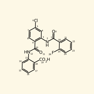 O=C(Nc1cc(Cl)ccc1C(=O)Nc1ccccc1C(=O)O)c1ccccc1F